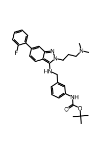 CN(C)CCCn1nc2cc(-c3ccccc3F)ccc2c1NCc1cccc(NC(=O)OC(C)(C)C)c1